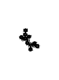 c1ccc(-c2ccc(-c3c4c(cc5c(-c6cccc(-c7nc(-c8ccccc8)nc(-c8cccc9c8oc8ccccc89)n7)c6)nc6ccccc6c35)oc3ccccc34)cc2)cc1